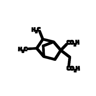 CC1C2CC(C1C)C(CC(=O)O)(C(=O)O)C2